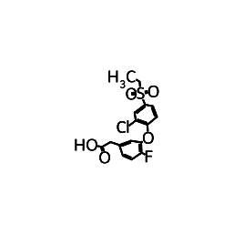 CCS(=O)(=O)c1ccc(Oc2cc(CC(=O)O)ccc2F)c(Cl)c1